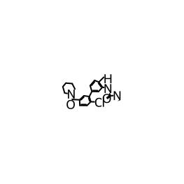 C=NC(=O)Nc1cc(-c2cc(C(=O)N3CCCCC3)ccc2Cl)ccc1C